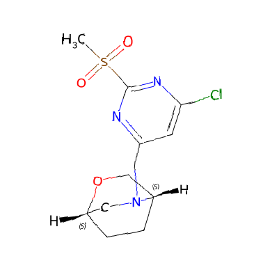 CS(=O)(=O)c1nc(Cl)cc(N2C[C@@H]3CC[C@H]2CO3)n1